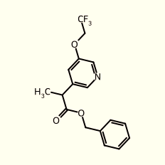 CC(C(=O)OCc1ccccc1)c1cncc(OCC(F)(F)F)c1